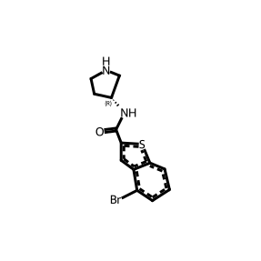 O=C(N[C@@H]1CCNC1)c1cc2c(Br)cccc2s1